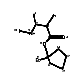 CCC1(OC(=O)C(C)C(C)NI)CCCC1